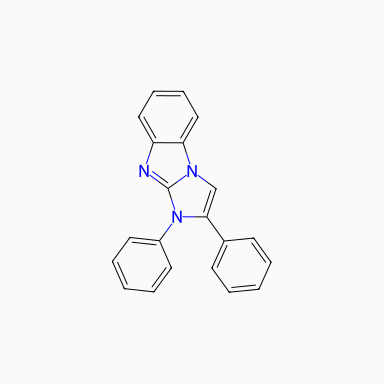 c1ccc(-c2cn3c4ccccc4nc3n2-c2ccccc2)cc1